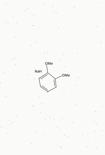 COc1c[c]ccc1OC.[NaH]